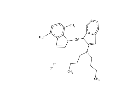 CCCCP(CCCC)C1=Cc2ccccc2[CH]1[Zr+2][CH]1C=Cc2c(C)ccc(C)c21.[Cl-].[Cl-]